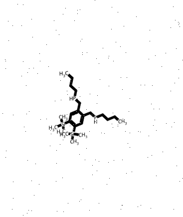 CCCCPCc1cc([Si](C)(C)C)c([Si](C)(C)C)cc1CPCCCC